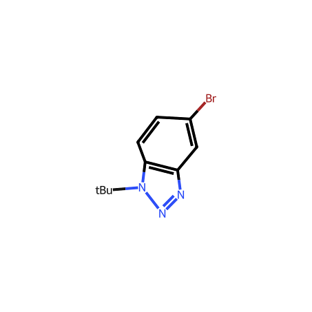 CC(C)(C)n1nnc2cc(Br)ccc21